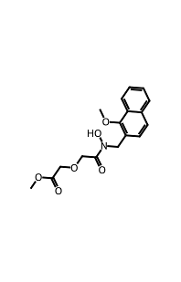 COC(=O)COCC(=O)N(O)Cc1ccc2ccccc2c1OC